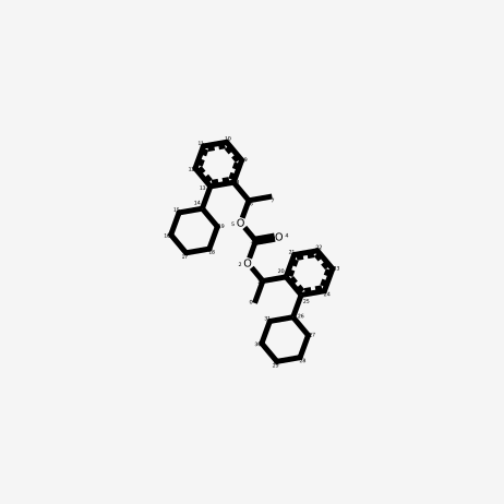 CC(OC(=O)OC(C)c1ccccc1C1CCCCC1)c1ccccc1C1CCCCC1